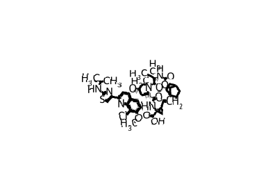 C=CC1C[C@]1(NC(=O)[C@@H]1C[C@@H](Oc2cc(-c3csc(NC(C)C)n3)nc3c(Cl)c(OC)ccc23)CN1C(=O)[C@@H](NC(=O)OC1C2CCC1CC2)C(C)(C)C)C(=O)O